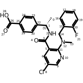 C[C@H](NC(=O)c1cc(Cl)cnc1N(C)Cc1ccccc1F)c1ccc(C(=O)O)cc1